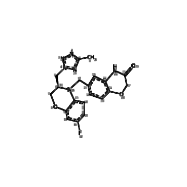 Cc1nnn(C[C@@H]2COc3cc(F)ccc3N2Cc2ccc3c(c2)NC(=O)CO3)n1